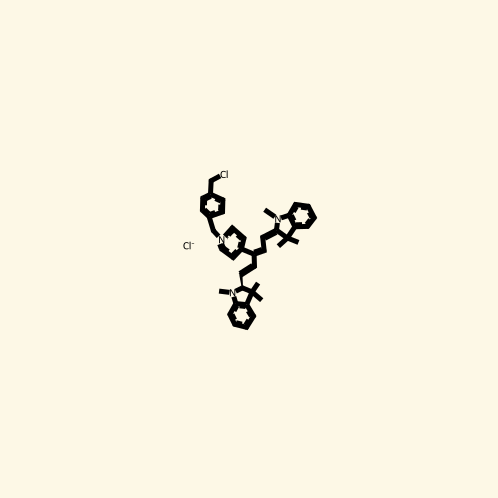 CN1/C(=C/C=C(/C=C/[C@@H]2N(C)c3ccccc3C2(C)C)c2cc[n+](Cc3ccc(CCl)cc3)cc2)C(C)(C)c2ccccc21.[Cl-]